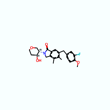 COc1ccc(Cc2cc3c(c(C)c2C)CN([C@H]2COCC[C@@H]2O)C3=O)cc1F